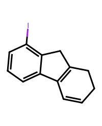 Ic1cccc2c1CC1=C2C=CCC1